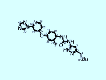 CC(C)(C)Cc1cc(NC(=O)Nc2ccc(Oc3ccnc(-n4cncn4)c3)cc2F)[nH]n1